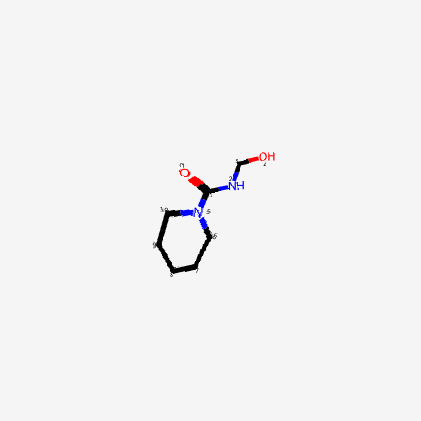 O=C(NCO)N1CCCCC1